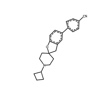 N#Cc1ccc(-c2ccc3c(c2)CC2(CCN(C4CCC4)CC2)O3)cc1